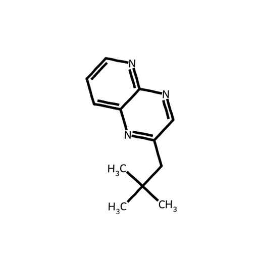 CC(C)(C)Cc1cnc2ncccc2n1